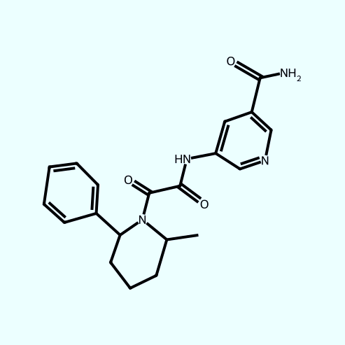 CC1CCCC(c2ccccc2)N1C(=O)C(=O)Nc1cncc(C(N)=O)c1